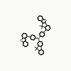 CC1(C)c2ccccc2-c2ccc(N(c3ccc(-c4cccc5c4C(C)(C)c4c-5sc5ccccc45)cc3)c3ccc(-c4cccc5oc6ccccc6c45)cc3)cc21